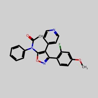 COc1ccc(-c2noc(N(C(C)=O)c3ccccc3)c2-c2ccncc2)c(F)c1